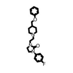 O=C1N(CCN2CCC(COc3ccccc3)CC2)CCN1c1ccc(F)cc1